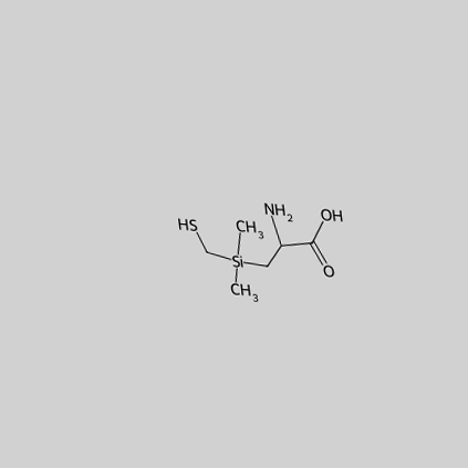 C[Si](C)(CS)CC(N)C(=O)O